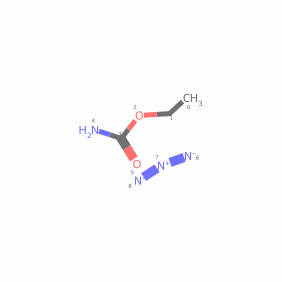 CCOC(N)=O.[N-]=[N+]=[N-]